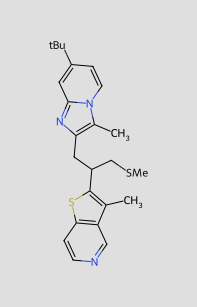 CSCC(Cc1nc2cc(C(C)(C)C)ccn2c1C)c1sc2ccncc2c1C